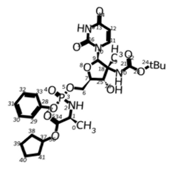 C[C@H](NP(=O)(OC[C@H]1O[C@@H](n2ccc(=O)[nH]c2=O)[C@](C)(NC(=O)OC(C)(C)C)[C@@H]1O)Oc1ccccc1)C(=O)OC1CCCC1